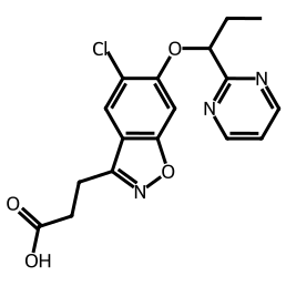 CCC(Oc1cc2onc(CCC(=O)O)c2cc1Cl)c1ncccn1